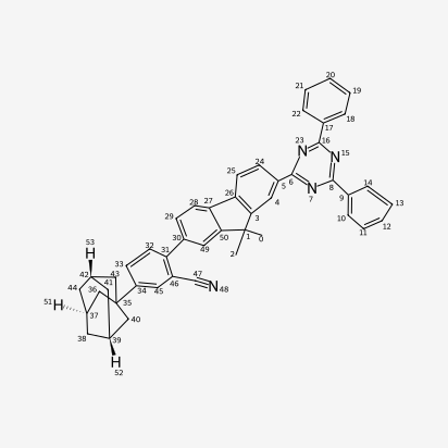 CC1(C)c2cc(-c3nc(-c4ccccc4)nc(-c4ccccc4)n3)ccc2-c2ccc(-c3ccc(C45C[C@H]6C[C@@H](C4)C[C@@H](C5)C6)cc3C#N)cc21